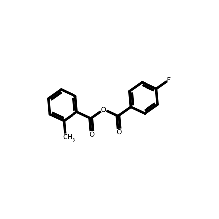 Cc1ccccc1C(=O)OC(=O)c1ccc(F)cc1